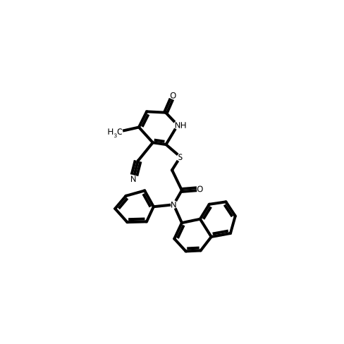 Cc1cc(=O)[nH]c(SCC(=O)N(c2ccccc2)c2cccc3ccccc23)c1C#N